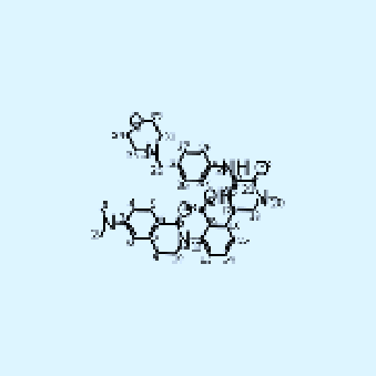 CN(C)c1ccc2c(c1)CCN(c1cccc(-c3cn(C)c(=O)c(Nc4ccc(CN5CCOCC5)cc4)n3)c1CO)C2=O